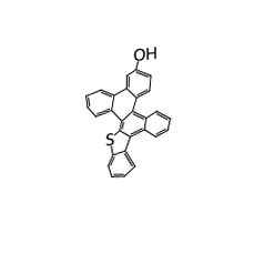 Oc1ccc2c(c1)c1ccccc1c1c3sc4ccccc4c3c3ccccc3c21